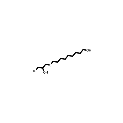 OCCCCCCCCCOCC(O)CO